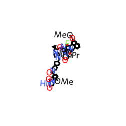 COCOc1cc(-c2ncc3c(N4CCCOCC4)nc(OCC4(CN5CCN(CC6CCC7(CC6)CCN(C(=O)c6ccc(OC)c(N8CCC(=O)NC8=O)c6)CC7)CC5)CC4)nc3c2F)c2c(C#C[Si](C(C)C)(C(C)C)C(C)C)cccc2c1